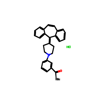 CCCCC(=O)c1cccc(N2CCC(=C3c4ccccc4C=Cc4ccccc43)CC2)c1.Cl